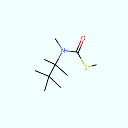 CSC(=O)N(C)C(C)(C)C(C)(C)C